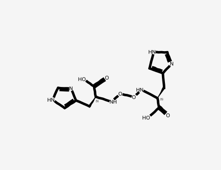 O=C(O)[C@H](Cc1c[nH]cn1)NOON[C@@H](Cc1c[nH]cn1)C(=O)O